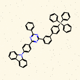 c1ccc(-c2nc(-c3ccc(-n4c5ccccc5c5ccccc54)cc3)nc(-c3cccc(-c4ccc([Si](c5ccccc5)(c5ccccc5)c5ccccc5)cc4)c3)n2)cc1